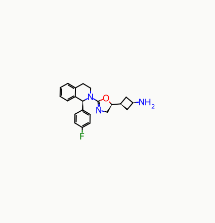 N[C@H]1C[C@@H]([C@H]2CN=C(N3CCc4ccccc4[C@@H]3c3ccc(F)cc3)O2)C1